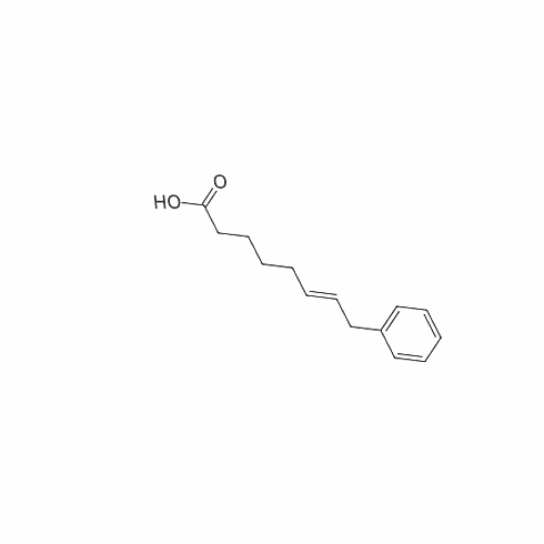 O=C(O)CCCCC=CCc1ccccc1